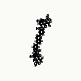 COC(=O)N[C@H](C(=O)N1[C@H](c2nc3ccc(-c4ccc5nc(-c6ccc7nc([C@@H]8C[C@H]9C[C@H]9N8C(=O)[C@@H](NC(=O)OC)C(C)C)[nH]c7c6)ccc5c4)cc3[nH]2)C2[C@@H]3[C@H]1[C@]23C)C(C)C